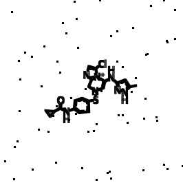 Cc1cc(NC2=CN(Sc3ccc(NC(=O)C4CC4)cc3)CC3=NC=C(Cl)[N+]23)n[nH]1